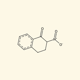 O=C1c2ccccc2CCC1[N+](=O)[O-]